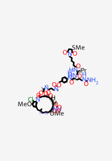 COc1cc2cc(c1Cl)N(C)C(=O)C[C@H](OC(=O)[C@H](C)N(C)C(=O)CCN(C)C(=O)OCc1ccc(NC(=O)[C@H](CCCNC(N)=O)NC(=O)[C@@H](NC(=O)CCCCCN3C(=O)CC(SC)C3=O)C(C)C)cc1)[C@]1(C)O[C@H]1[C@H](C)[C@@H]1C[C@@](O)(NC(=O)O1)[C@H](OC)/C=C/C=C(\C)C2